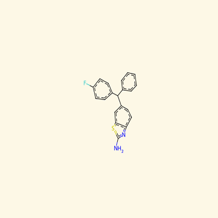 Nc1nc2ccc(C(c3ccccc3)c3ccc(F)cc3)cc2s1